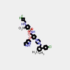 CC1(C)CCC(CN2CCN(c3ccc(C(=O)NS(=O)(=O)c4ccc(NCC5CC(F)(F)C5)c([N+](=O)[O-])c4)c(Oc4cnc5[nH]ccc5c4)c3)CC2)=C(c2ccc(Cl)cc2)C1